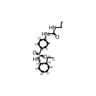 CCNC(=O)Nc1ccc(S(=O)(=O)Nc2ccccc2CC)cc1